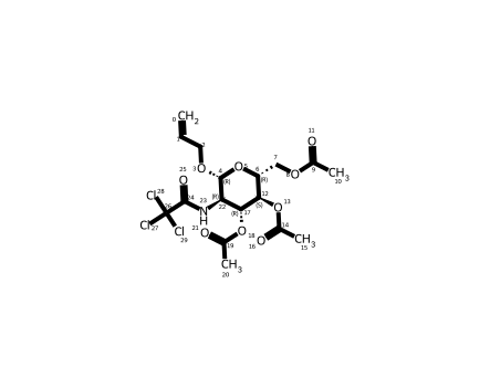 C=CCO[C@@H]1O[C@H](COC(C)=O)[C@@H](OC(C)=O)[C@H](OC(C)=O)[C@H]1NC(=O)C(Cl)(Cl)Cl